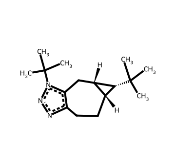 CC(C)(C)[C@@H]1[C@@H]2CCc3nnn(C(C)(C)C)c3C[C@@H]21